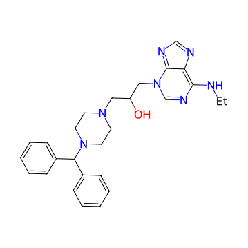 CCNc1ncn(CC(O)CN2CCN(C(c3ccccc3)c3ccccc3)CC2)c2ncnc1-2